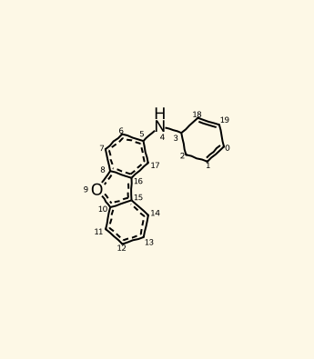 C1=CCC(Nc2ccc3oc4ccccc4c3c2)C=C1